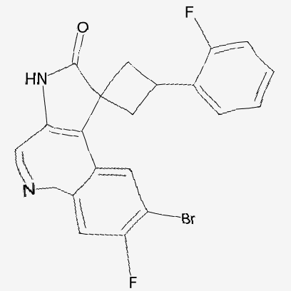 O=C1Nc2cnc3cc(F)c(Br)cc3c2C12CC(c1ccccc1F)C2